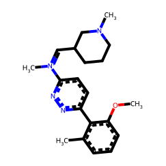 COc1cccc(C)c1-c1ccc(/[N+](C)=C\C2CCCN(C)C2)nn1